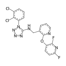 Fc1ccc(Oc2ncccc2CNc2nnnn2-c2cccc(Cl)c2Cl)c(F)n1